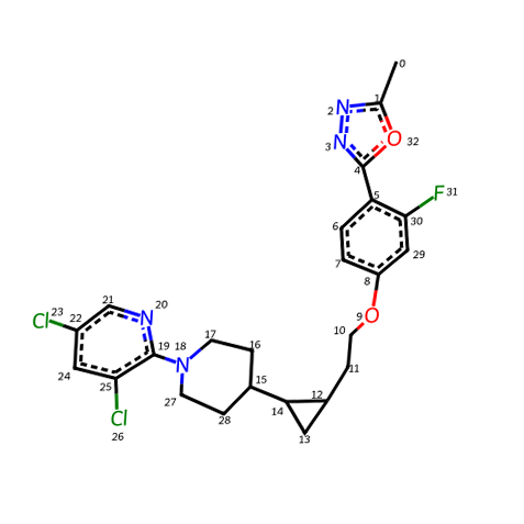 Cc1nnc(-c2ccc(OCCC3CC3C3CCN(c4ncc(Cl)cc4Cl)CC3)cc2F)o1